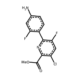 COC(=O)c1nc(-c2ccc(N)cc2F)c(F)cc1Cl